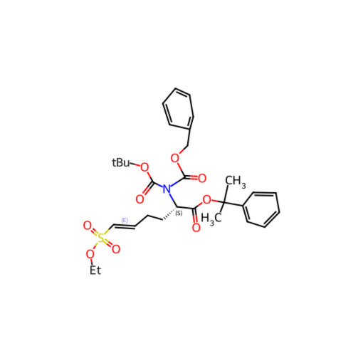 CCOS(=O)(=O)/C=C/CC[C@@H](C(=O)OC(C)(C)c1ccccc1)N(C(=O)OCc1ccccc1)C(=O)OC(C)(C)C